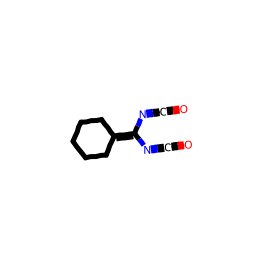 O=C=NC(N=C=O)=C1CCCCC1